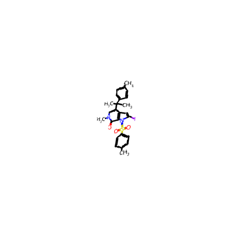 Cc1ccc(C(C)(C)c2cn(C)c(=O)c3c2cc(I)n3S(=O)(=O)c2ccc(C)cc2)cc1